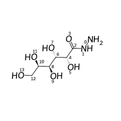 NNC(=O)[C@H](O)[C@@H](O)[C@@H](O)[C@H](O)CO